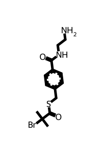 CC(C)(Br)C(=O)SCc1ccc(C(=O)NCCN)cc1